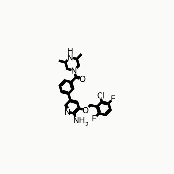 CC1CN(C(=O)c2cccc(-c3cnc(N)c(OCc4c(F)ccc(F)c4Cl)c3)c2)CC(C)N1